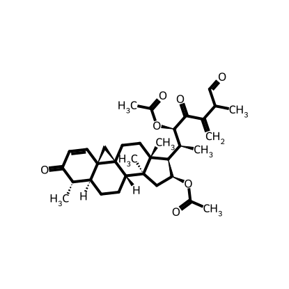 C=C(C(=O)[C@H](OC(C)=O)[C@@H](C)[C@H]1[C@@H](OC(C)=O)C[C@@]2(C)[C@@H]3CC[C@H]4[C@H](C)C(=O)C=C[C@@]45C[C@@]35CC[C@]12C)C(C)C=O